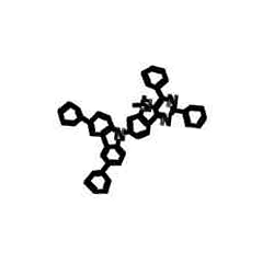 C[Si]1(C)c2cc(-n3c4ccc(-c5ccccc5)cc4c4cc(-c5ccccc5)ccc43)ccc2-c2nc(-c3ccccc3)nc(-c3ccccc3)c21